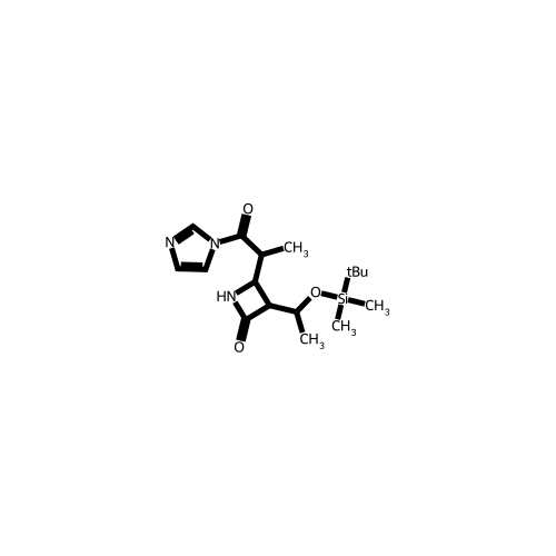 CC(O[Si](C)(C)C(C)(C)C)C1C(=O)NC1C(C)C(=O)n1ccnc1